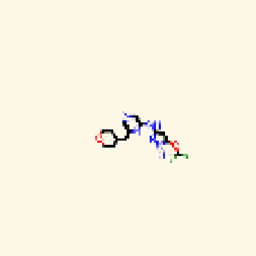 FC(F)Oc1cc(Nc2cncc(CC3CCOCC3)n2)n[nH]1